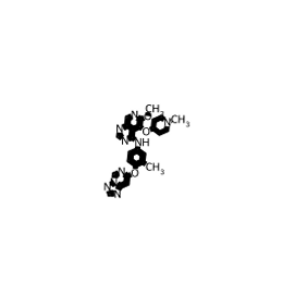 COc1ncc2ncnc(Nc3ccc(Oc4cc5ncnn5cn4)c(C)c3)c2c1OC1CCN(C)CC1